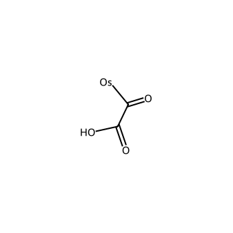 O=C(O)[C](=O)[Os]